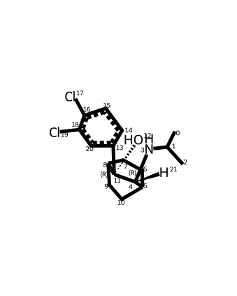 CC(C)N[C@@H]1C2CCC(CC2)[C@@]1(O)c1ccc(Cl)c(Cl)c1